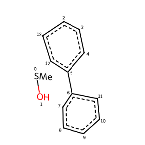 CSO.c1ccc(-c2ccccc2)cc1